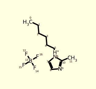 CCCCCC[NH+]1C=CN=C1C.F[B-](F)(F)F